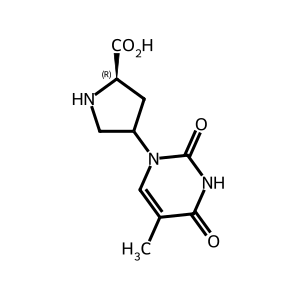 Cc1cn(C2CN[C@@H](C(=O)O)C2)c(=O)[nH]c1=O